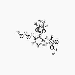 CCOC(=O)C(F)(F)Cc1cccc(COCOC)c1B1OC(C)(C)C(C)(C)O1